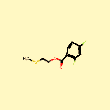 CSCCOC(=O)c1ccc(F)[c]c1F